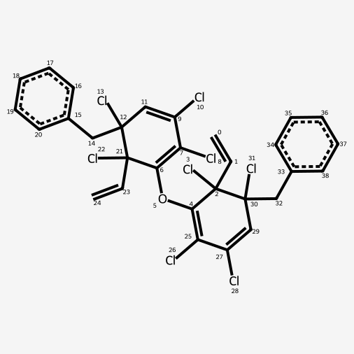 C=CC1(Cl)C(OC2=C(Cl)C(Cl)=CC(Cl)(Cc3ccccc3)C2(Cl)C=C)=C(Cl)C(Cl)=CC1(Cl)Cc1ccccc1